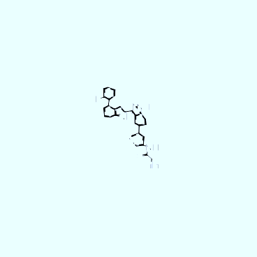 CC(C)CC(=O)Nc1cncc(-c2ccc3[nH]nc(-c4cc5c(-c6ccccc6F)cccc5[nH]4)c3c2)c1